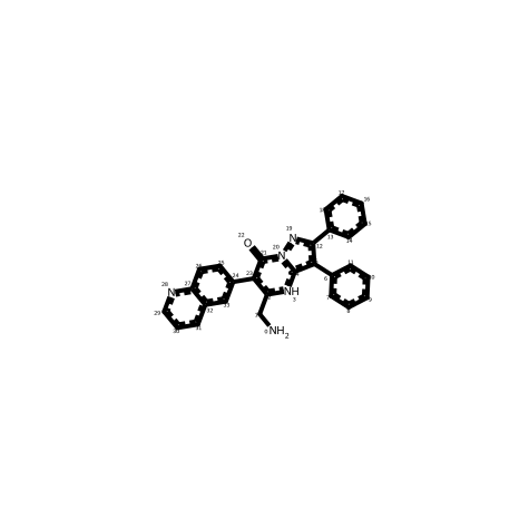 NCc1[nH]c2c(-c3ccccc3)c(-c3ccccc3)nn2c(=O)c1-c1ccc2ncccc2c1